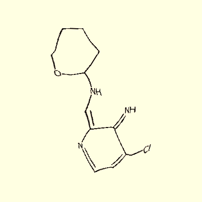 N=C1C(Cl)=CC=N/C1=C/NC1CCCCO1